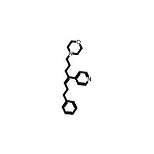 C(/CCc1ccccc1)=C(\CCCN1CCOCC1)c1ccncc1